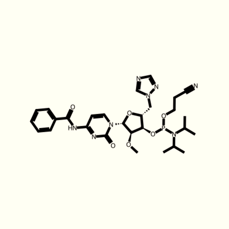 CO[C@@H]1[C@H](OP(OCCC#N)N(C(C)C)C(C)C)[C@@H](Cn2cncn2)O[C@H]1n1ccc(NC(=O)c2ccccc2)nc1=O